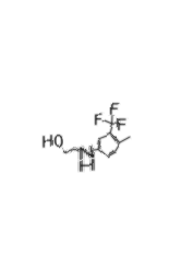 Cc1ccc(NCCO)cc1C(F)(F)F